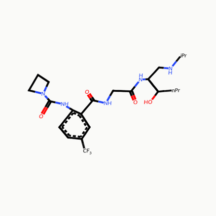 CCCC(O)C(CNC(C)C)NC(=O)CNC(=O)c1cc(C(F)(F)F)ccc1NC(=O)N1CCC1